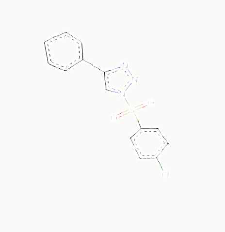 O=S(=O)(c1ccc(Cl)cc1)n1cc(-c2ccccc2)nn1